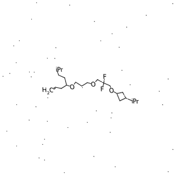 C=CCC(CCC(C)C)OCCCOCC(F)(F)COC1CC(C(C)C)C1